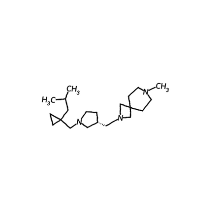 CC(C)CC1(CN2CC[C@H](CN3CC4(CCN(C)CC4)C3)C2)CC1